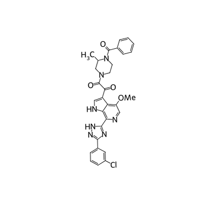 COc1cnc(-c2nc(-c3cccc(Cl)c3)n[nH]2)c2[nH]cc(C(=O)C(=O)N3CCN(C(=O)c4ccccc4)C(C)C3)c12